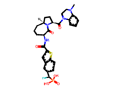 CN1CCN(C(=O)[C@@H]2CC[C@@H]3CCC[C@H](NC(=O)c4cc5cc(C(F)P(=O)(O)O)ccc5s4)C(=O)N32)c2ccccc21